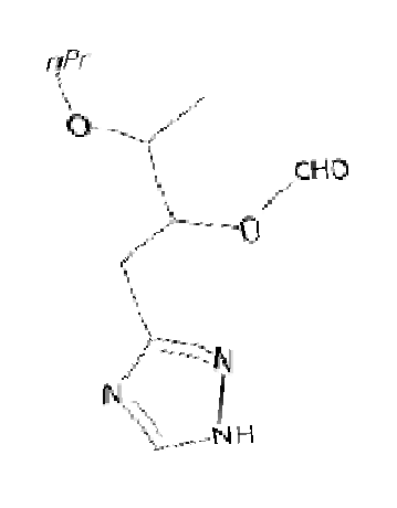 CCCOC(C)C(Cc1nc[nH]n1)OC=O